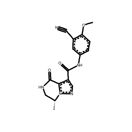 COc1ccc(NC(=O)c2cnn3c2C(=O)NC[C@H]3C)cc1C#N